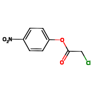 O=C(CCl)Oc1ccc([N+](=O)[O-])cc1